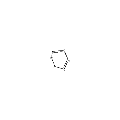 [C]1C=[C]C=[C]C1